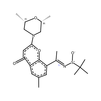 C/C(=N\[S+]([O-])C(C)(C)C)c1cc(C)cc2c(=O)cc(N3C[C@@H](C)O[C@@H](C)C3)oc12